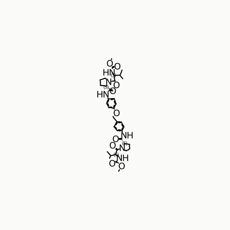 COC(=O)N[C@H](C(=O)N1CCC[C@H]1C(=O)Nc1ccc(COc2ccc(NC(=O)[C@@H]3CCCN3C(=O)[C@@H](NC(=O)OC)C(C)C)cc2)cc1)C(C)C